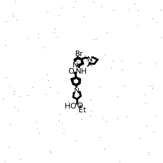 CCOC(O)C1CCN(c2ccc(C(=O)Nc3cc(CN4CCC[C@H]4C)c(Br)cn3)cc2)CC1